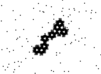 c1cc(-c2ccc(-c3nc4ccccc4c4c3ccc3ccccc34)cc2)cc(-c2ccc3ccc4ccccc4c3c2)c1